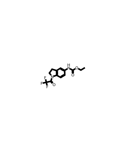 CCOC(=O)Nc1ccc2c(c1)CCN2C(=O)C(F)(F)F